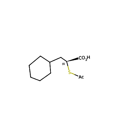 CC(=O)S[C@@H](CC1CCCCC1)C(=O)O